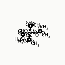 COc1cc(OC)cc(C(=O)OCC(OC(=O)c2cc(OC)cc(OC)c2)C(COC(=O)c2cc(OC)cc(OC)c2)OC(=O)c2cc(OC)cc(OC)c2)c1